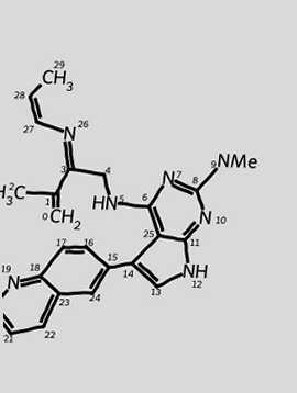 C=C(C)/C(CNc1nc(NC)nc2[nH]cc(-c3ccc4ncccc4c3)c12)=N\C=C/C